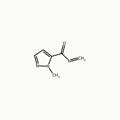 C=NC(=O)c1ccnn1C